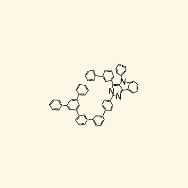 c1ccc(-c2cc(-c3ccccc3)cc(-c3cccc(-c4cccc(-c5ccc(-c6nc(-c7cccc(-c8ccccc8)c7)c7c(n6)c6ccccc6n7-c6ccccc6)cc5)c4)c3)c2)cc1